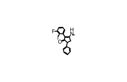 CNC1=C(c2cccc(F)c2I)C(=O)C(c2ccccc2)C1